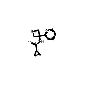 O=C(NC1(c2ccccn2)CNC1)C1CC1